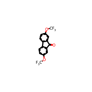 O=C1c2cc(OC(F)(F)F)ccc2-c2ccc(OC(F)(F)F)cc21